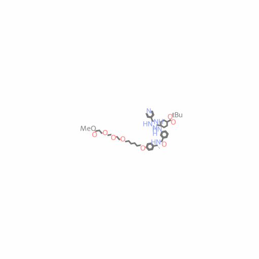 COC(=O)CCOCCOCCOCCCCCCOc1ccc([C@@H](C)NC(=O)c2cccc(NC3(C(=N)NC(=N)c4ccncc4)CCC(C(=O)OC(C)(C)C)CC3)c2)cc1